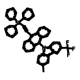 Cc1ccc2c(c1)c1cc(C(F)(F)F)ccc1n2-c1c2ccccc2c(C#C[Si](c2ccccc2)(c2ccccc2)c2ccccc2)c2ccccc12